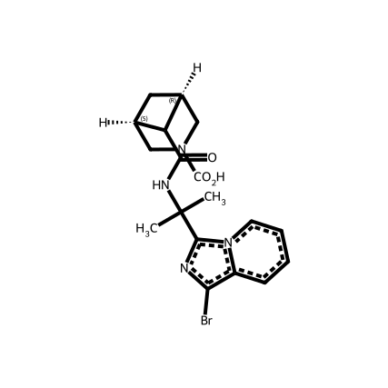 CC(C)(NC(=O)C1[C@@H]2C[C@H]1CN(C(=O)O)C2)c1nc(Br)c2ccccn12